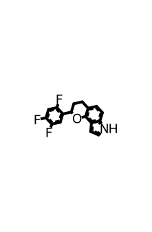 Fc1cc(F)c(C2CCc3ccc4[nH]ccc4c3O2)cc1F